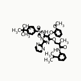 COc1ccccc1Oc1c(NS(=O)(=O)c2ccc(C(C)(C)C)cc2)nc(-c2ncccn2)nc1OCC(C)C(=O)Nc1ccccc1C(C)C